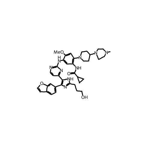 COc1cc(N2CCC(N3CCN(C)CC3)CC2)c(NC(=O)C2CC2)cc1Nc1nccc(-c2[nH]c(CCCO)nc2-c2ccc3ccoc3c2)n1